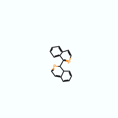 C1=CC2=CC=PC(c3pccc4ccccc34)C2C=C1